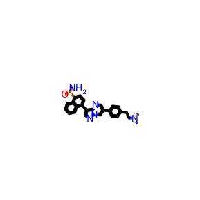 CN(C)CCc1ccc(-c2cnc3c(-c4ccc([S+](N)[O-])c5ccccc45)cnn3c2)cc1